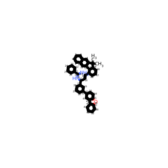 CC1(C)c2cc3ccccc3cc2-c2c(/C=C/C(NC(N)c3ccccc3)c3cccc(-c4ccc5oc6ccccc6c5c4)c3)cccc21